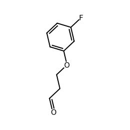 O=CCCOc1cccc(F)c1